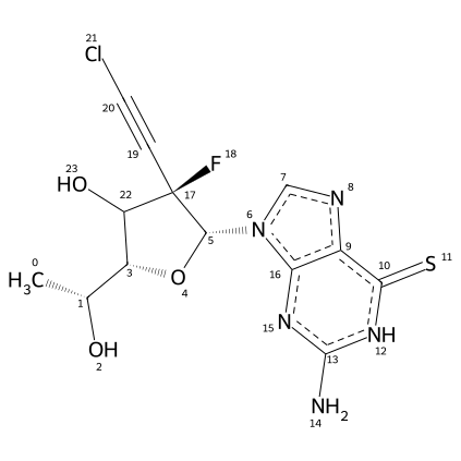 C[C@@H](O)[C@H]1O[C@@H](n2cnc3c(=S)[nH]c(N)nc32)[C@@](F)(C#CCl)C1O